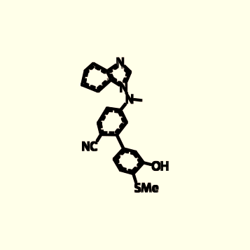 CSc1ccc(-c2cc(N(C)n3cnc4ccccc43)ccc2C#N)cc1O